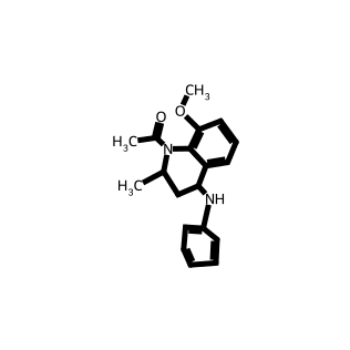 COc1cccc2c1N(C(C)=O)C(C)CC2Nc1ccccc1